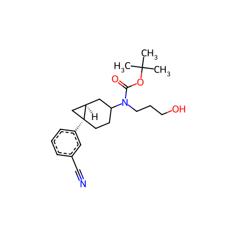 CC(C)(C)OC(=O)N(CCCO)C1CC[C@@]2(c3cccc(C#N)c3)C[C@H]2C1